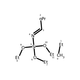 CCC.CCCC=N[Si](OCC)(OCC)OCC